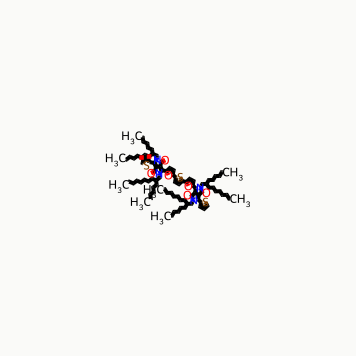 CCCCCCCCC(CCCCCC)CN1C(=O)C2=C(c3cccs3)N(CC(CCCCCC)CCCCCCCC)C(=O)C2=C1c1ccc(-c2ccc(-c3ccc(C4=C5C(=O)N(CC(CCCCCC)CCCCCCCC)C(c6cccs6)=C5C(=O)N4CC(CCCCCC)CCCCCCCC)o3)s2)o1